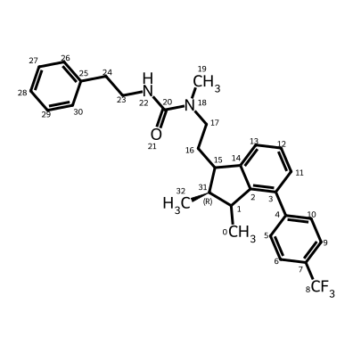 CC1c2c(-c3ccc(C(F)(F)F)cc3)cccc2C(CCN(C)C(=O)NCCc2ccccc2)[C@@H]1C